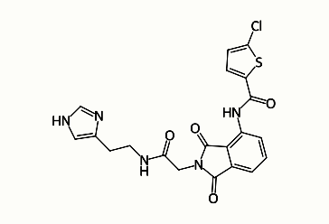 O=C(CN1C(=O)c2cccc(NC(=O)c3ccc(Cl)s3)c2C1=O)NCCc1c[nH]cn1